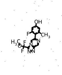 COC(F)(F)c1nnc2cnc(-c3c(C)cc(O)cc3F)cn12